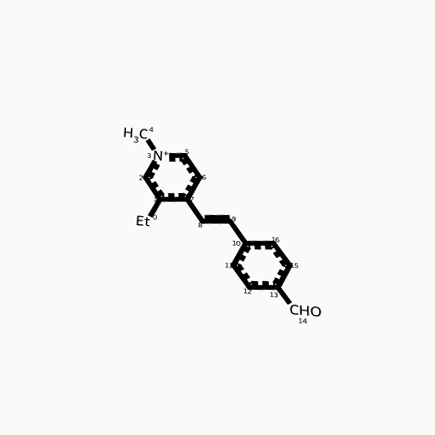 CCc1c[n+](C)ccc1C=Cc1ccc(C=O)cc1